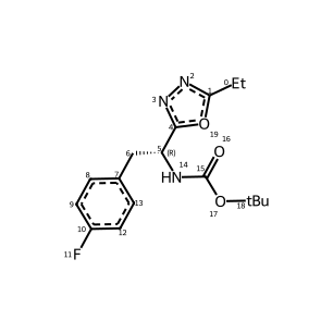 CCc1nnc([C@@H](Cc2ccc(F)cc2)NC(=O)OC(C)(C)C)o1